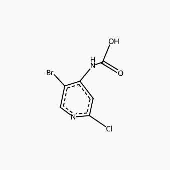 O=C(O)Nc1cc(Cl)ncc1Br